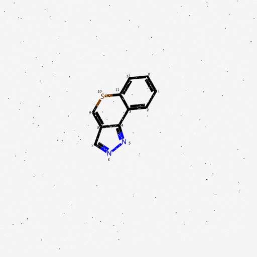 c1ccc2c3nncc-3csc2c1